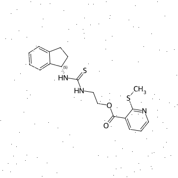 CSc1ncccc1C(=O)OCCNC(=S)N[C@H]1CCc2ccccc21